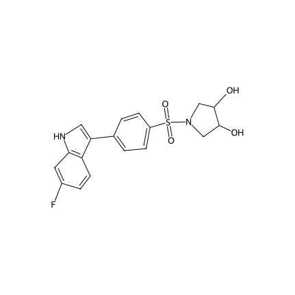 O=S(=O)(c1ccc(-c2c[nH]c3cc(F)ccc23)cc1)N1CC(O)C(O)C1